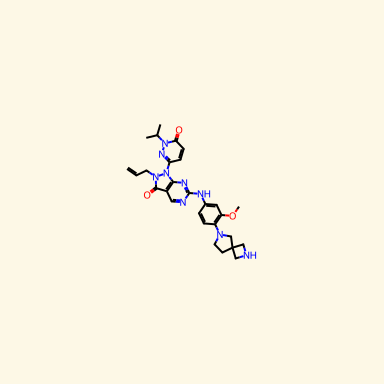 C=CCn1c(=O)c2cnc(Nc3ccc(N4CCC5(CNC5)C4)c(OC)c3)nc2n1-c1ccc(=O)n(C(C)C)n1